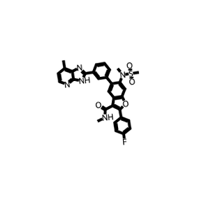 CNC(=O)c1c(-c2ccc(F)cc2)oc2cc(N(C)S(C)(=O)=O)c(-c3cccc(-c4nc5c(C)ccnc5[nH]4)c3)cc12